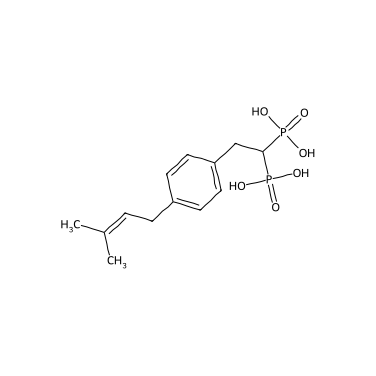 CC(C)=CCc1ccc(CC(P(=O)(O)O)P(=O)(O)O)cc1